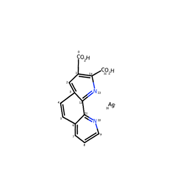 O=C(O)c1cc2ccc3cccnc3c2nc1C(=O)O.[Ag]